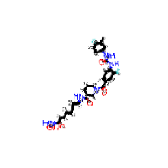 Cc1cc(NC(=O)Nc2ccc(C(=O)N3CCC[C@H](C(=O)NCCCCCCC(=O)NO)C3)cc2F)ccc1F